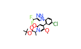 COc1cn(C(C)C(=O)OC(C)(C)C)c(=O)cc1-c1cc(Cl)ccc1-n1cc(C(F)F)nn1